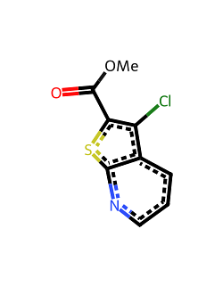 COC(=O)c1sc2ncccc2c1Cl